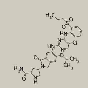 CCCS(=O)(=O)c1ccccc1Nc1nc(Nc2cc3c(cc2OC(C)C)CN([C@@H]2CN[C@H](C(N)=O)C2)C3=O)ncc1Cl